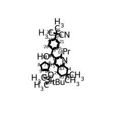 CC(C)c1nc2c(c([C@@H]3CCC=C3O[Si](C)(C)C(C)(C)C)c1[C@H](O)c1ccc(C(C)(C)C#N)cc1)CCC(C)(C)C2